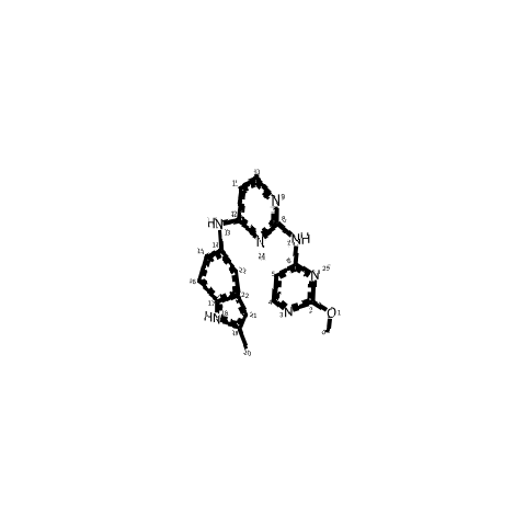 COc1nccc(Nc2nccc(Nc3ccc4[nH]c(C)cc4c3)n2)n1